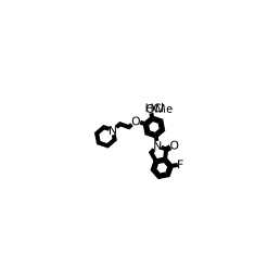 COc1ccc(N2Cc3cccc(F)c3C2=O)cc1OCCN1CCCCC1.Cl